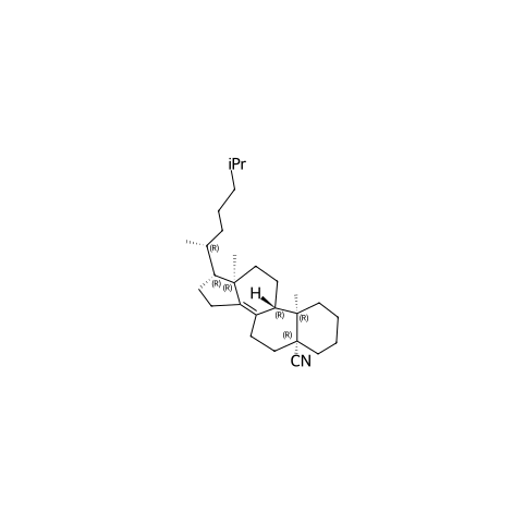 CC(C)CCC[C@@H](C)[C@H]1CCC2=C3CC[C@]4(C#N)CCCC[C@]4(C)[C@H]3CC[C@@]21C